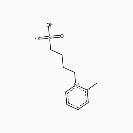 Cc1cccc[n+]1CCCCS(=O)(=O)O